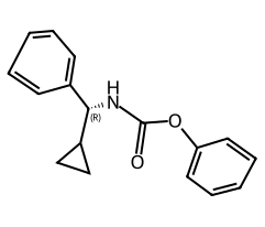 O=C(N[C@@H](c1ccccc1)C1CC1)Oc1ccccc1